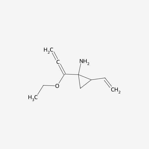 C=C=C(OCC)C1(N)CC1C=C